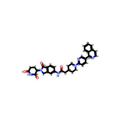 O=C1CCC(N2Cc3cc(NC(=O)CC4CCN(c5ccc(-c6nccc7ccccc67)cn5)CC4)ccc3C2=O)C(=O)N1